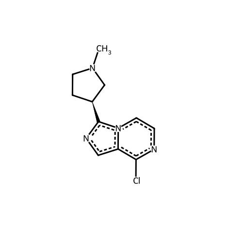 CN1CC[C@H](c2ncc3c(Cl)nccn23)C1